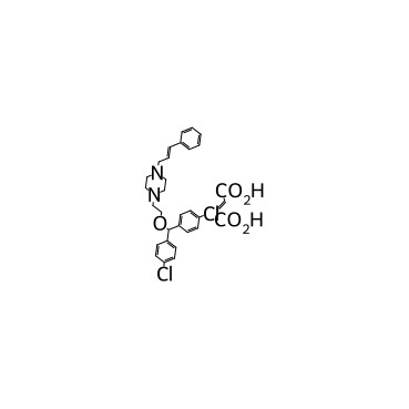 Clc1ccc(C(OCCN2CCN(CC=Cc3ccccc3)CC2)c2ccc(Cl)cc2)cc1.O=C(O)C=CC(=O)O